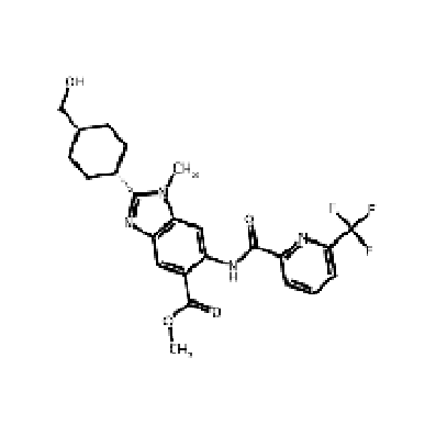 COC(=O)c1cc2nc([C@H]3CC[C@H](CO)CC3)n(C)c2cc1NC(=O)c1cccc(C(F)(F)F)n1